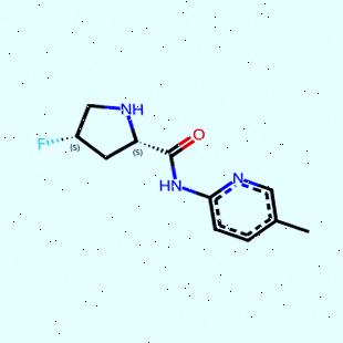 Cc1ccc(NC(=O)[C@@H]2C[C@H](F)CN2)nc1